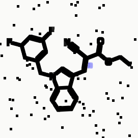 CCOC(=O)/C(C#N)=C/c1cn(CC2=CC(F)=CC(F)C2)c2ccccc12